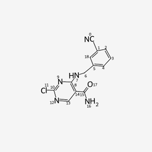 N#Cc1cccc(CNc2nc(Cl)ncc2C(N)=O)c1